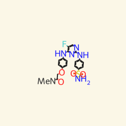 CNC(=O)COc1ccc(Nc2nc(Nc3ccc(S(N)(=O)=O)cc3)ncc2F)cc1